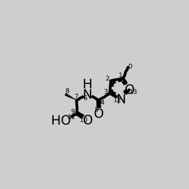 Cc1cc(C(=O)N[C@H](C)C(=O)O)no1